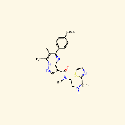 COc1ccc(-c2nc3c(C(=O)N(CCN(C)[C@@H](C)c4nccs4)C(C)C)cnn3c(C(F)(F)F)c2C)cc1